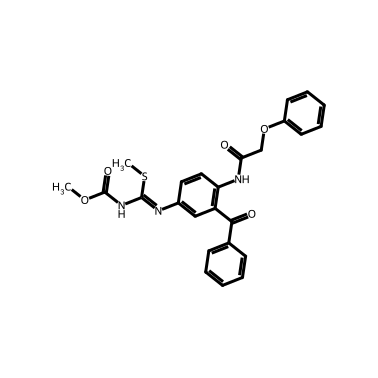 COC(=O)NC(=Nc1ccc(NC(=O)COc2ccccc2)c(C(=O)c2ccccc2)c1)SC